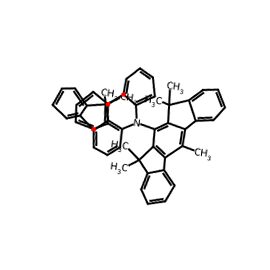 Cc1c2c(c(N(c3ccccc3-c3ccccc3)c3cccc4c3C(C)(C)c3ccccc3-4)c3c1-c1ccccc1C3(C)C)C(C)(C)c1ccccc1-2